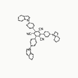 N#Cc1c(-c2ccc(-n3ccc4ccccc43)cc2)c(C#N)c(-c2ccc(-n3ccc4ccccc43)cc2)c(C#N)c1-c1ccc(-n2ccc3ccccc32)cc1